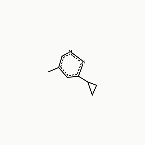 Cc1cnnc(C2CC2)c1